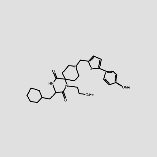 COCCN1C(=O)C(CC2CCCCC2)NC(=O)C12CCN(Cc1ccc(-c3ccc(OC)cc3)s1)CC2